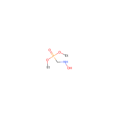 CCOP(=O)(CNO)OCC